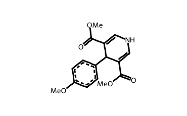 COC(=O)C1=CNC=C(C(=O)OC)C1c1ccc(OC)cc1